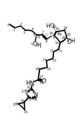 CCCCC[C@H](O)/C=C/[C@@H]1C(CCCCCCC(=O)Nc2nnc(C3CC3)s2)[C@@H](O)C[C@H]1O